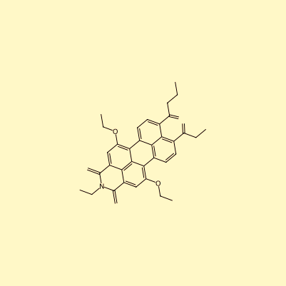 C=C(CC)c1ccc2c3c(OCC)cc4c5c(cc(OCC)c(c6ccc(C(=C)CCC)c1c26)c53)C(=C)N(CC)C4=C